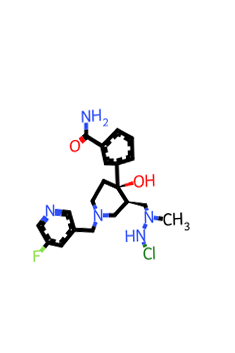 CN(C[C@H]1CN(Cc2cncc(F)c2)CC[C@]1(O)c1cccc(C(N)=O)c1)NCl